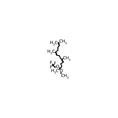 CCOC(C)(CCC=C(C)CCC=C(C)CCC=C(C)C)OCC(F)(F)F